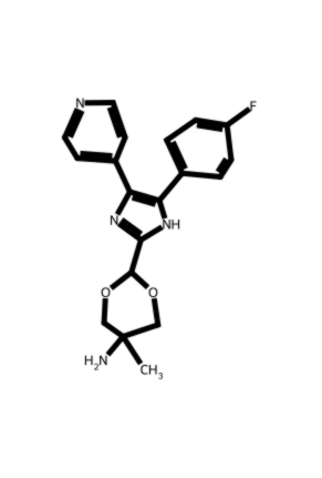 CC1(N)COC(c2nc(-c3ccncc3)c(-c3ccc(F)cc3)[nH]2)OC1